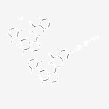 CC(NC(=O)c1c(C)cccc1C)=C1C=CCC(=C(C)NC(=O)c2c(C)cccc2C)N1.CC(NC(=O)c1c(C)cccc1C)=C1C=CCC(=C(C)NC(=O)c2c(C)cccc2C)N1.CCO.CCO.CCO.[Nd].[Nd]